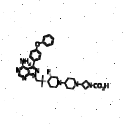 CC(C)(Cn1nc(-c2ccc(Oc3ccccc3)cc2)c2c(N)ncnc21)[C@H]1CCN(C2CCN(C3CN(C(=O)O)C3)CC2)C[C@H]1F